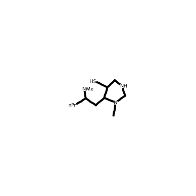 CCCC(CC1C(S)CNCN1C)NC